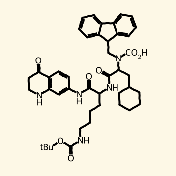 CC(C)(C)OC(=O)NCCCCC(NC(=O)C(CC1CCCCC1)N(CC1c2ccccc2-c2ccccc21)C(=O)O)C(=O)Nc1ccc2c(c1)NCCC2=O